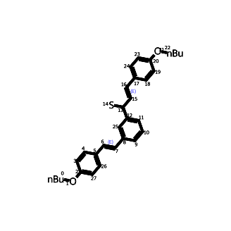 CCCCOc1ccc(/C=C/c2cccc(C([S])/C=C/c3ccc(OCCCC)cc3)c2)cc1